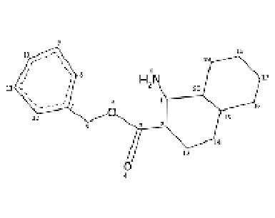 NC1C(C(=O)OCc2ccccc2)CCC2CCCCC21